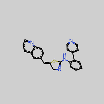 C(=C1\CN=C(Nc2ccccc2-c2ccncc2)S1)/c1ccc2ncccc2c1